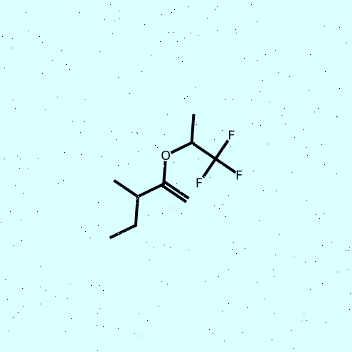 C=C(OC(C)C(F)(F)F)C(C)CC